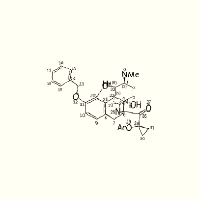 CN[C@H]1CC[C@@]2(O)C3Cc4ccc(OCc5ccccc5)c5c4[C@@]2(CCN3C(=O)C2(OC(C)=O)CC2)[C@H]1O5